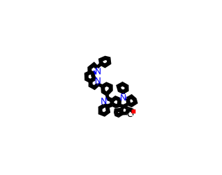 c1ccc(-c2ccc3ccc4ccc(-c5cccc(-c6nc7ccccc7c7cc8c(cc67)N(c6ccccc6)c6ccccc6C86c7ccccc7-c7ccccc76)c5)nc4c3n2)cc1